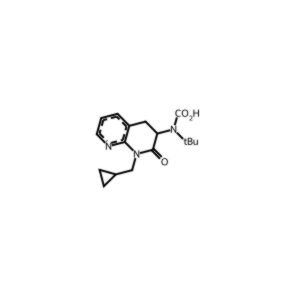 CC(C)(C)N(C(=O)O)C1Cc2cccnc2N(CC2CC2)C1=O